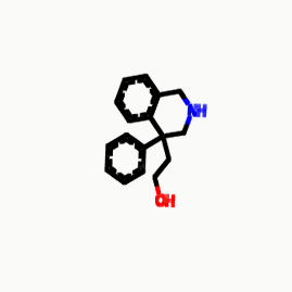 OCCC1(c2ccccc2)CNCc2ccccc21